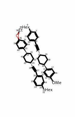 CCCCCCc1ccc(C#C[C@H]2CC[C@H](c3ccc(OC)cc3)CC2)cc1.CCCCCCc1ccc(C#C[C@H]2CC[C@H](c3ccc(OCC)cc3)CC2)cc1